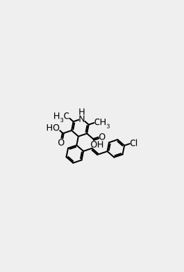 CC1=C(C(=O)O)C(c2ccccc2C=Cc2ccc(Cl)cc2)C(C(=O)O)=C(C)N1